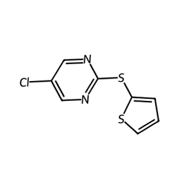 Clc1cnc(Sc2cccs2)nc1